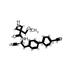 COCC1(C(=O)N[C@H](C#N)Cc2ccc(-c3ccc(C#N)cc3)cc2)CNC1